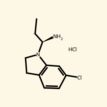 C[CH][C@@H](N)N1CCc2ccc(Cl)cc21.Cl